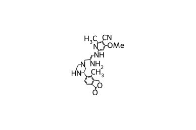 COc1cc(N/C=C(\N)CN2CCN[C@H](c3ccc4c(c3C)COC4=O)C2)nc(C)c1C#N